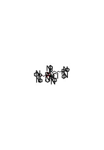 [Cl][Au]([CH](CCCCCP(c1ccccn1)c1ccccn1)P(c1ccccn1)c1ccccn1)[CH](CCCCCP(c1ccccn1)c1ccccn1)P(c1ccccn1)c1ccccn1